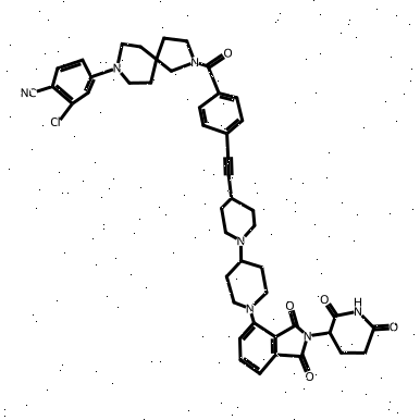 N#Cc1ccc(N2CCC3(CCN(C(=O)c4ccc(C#CC5CCN(C6CCN(c7cccc8c7C(=O)N(C7CCC(=O)NC7=O)C8=O)CC6)CC5)cc4)C3)CC2)cc1Cl